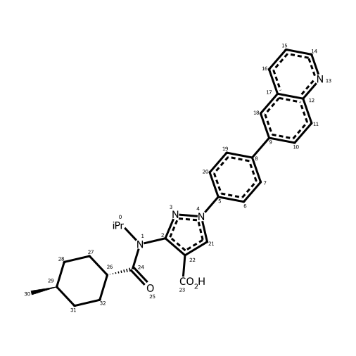 CC(C)N(c1nn(-c2ccc(-c3ccc4ncccc4c3)cc2)cc1C(=O)O)C(=O)[C@H]1CC[C@H](C)CC1